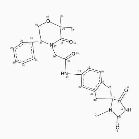 CN1C(=O)NC(=O)[C@@]12Cc1ccc(NC(=O)CN3C(=O)C(C)(C)OC[C@H]3c3ccccc3)cc1C2